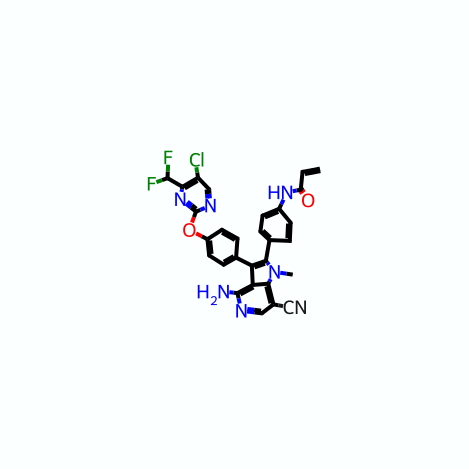 C=CC(=O)Nc1ccc(-c2c(-c3ccc(Oc4ncc(Cl)c(C(F)F)n4)cc3)c3c(N)ncc(C#N)c3n2C)cc1